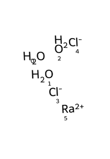 O.O.O.[Cl-].[Cl-].[Ra+2]